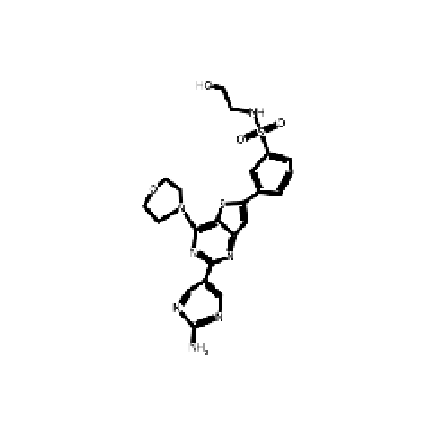 Nc1ncc(-c2nc(N3CCOCC3)c3sc(-c4cccc(S(=O)(=O)NCCO)c4)cc3n2)cn1